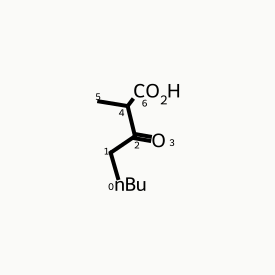 CCCCCC(=O)C(C)C(=O)O